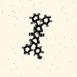 Brc1ccc(-c2nc3c(nc2-c2ccccc2)Nc2nc(-c4ccccc4)c(-c4ccccc4)nc2N3)cc1